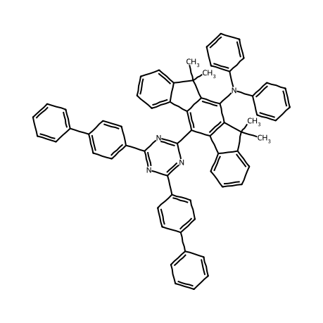 CC1(C)c2ccccc2-c2c(-c3nc(-c4ccc(-c5ccccc5)cc4)nc(-c4ccc(-c5ccccc5)cc4)n3)c3c(c(N(c4ccccc4)c4ccccc4)c21)C(C)(C)c1ccccc1-3